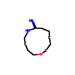 N=C1CCCCCOCCCCN1